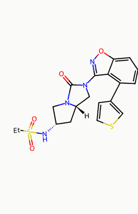 CCS(=O)(=O)N[C@H]1C[C@H]2CN(c3noc4cccc(-c5ccsc5)c34)C(=O)N2C1